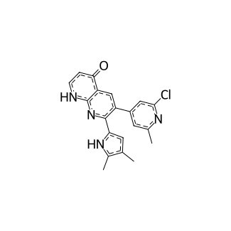 Cc1cc(-c2cc3c(=O)cc[nH]c3nc2-c2cc(C)c(C)[nH]2)cc(Cl)n1